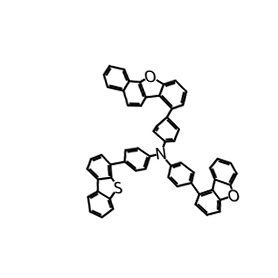 c1ccc2c(c1)ccc1c2oc2cccc(-c3ccc(N(c4ccc(-c5cccc6c5sc5ccccc56)cc4)c4ccc(-c5cccc6oc7ccccc7c56)cc4)cc3)c21